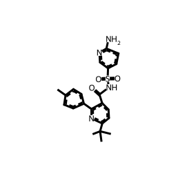 Cc1ccc(-c2nc(C(C)(C)C)ccc2C(=O)NS(=O)(=O)c2ccc(N)nc2)cc1